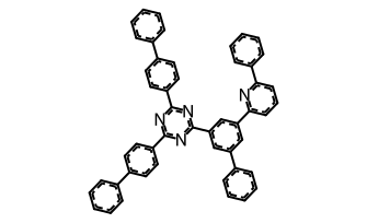 c1ccc(-c2ccc(-c3nc(-c4ccc(-c5ccccc5)cc4)nc(-c4cc(-c5ccccc5)cc(-c5cccc(-c6ccccc6)n5)c4)n3)cc2)cc1